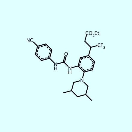 CCOC(=O)CC(c1ccc(N2CC(C)CC(C)C2)c(NC(=O)Nc2ccc(C#N)cc2)c1)C(F)(F)F